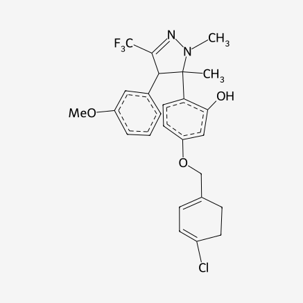 COc1cccc(C2C(C(F)(F)F)=NN(C)C2(C)c2ccc(OCC3=CC=C(Cl)CC3)cc2O)c1